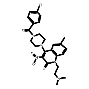 Cc1ccc2c(c1)c(N1CCN(C(=O)c3ccc(Cl)cc3)CC1)c([N+](=O)[O-])c(=O)n2CCN(C)C